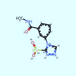 CNC(=O)c1cccc(-n2cnnc2[SH](=O)=O)c1